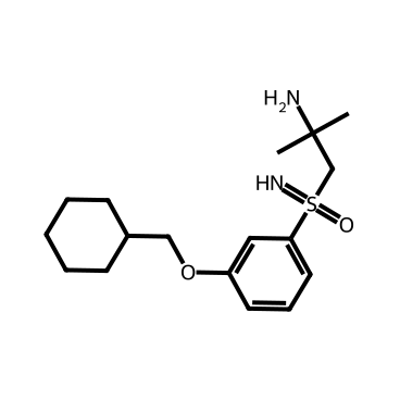 CC(C)(N)CS(=N)(=O)c1cccc(OCC2CCCCC2)c1